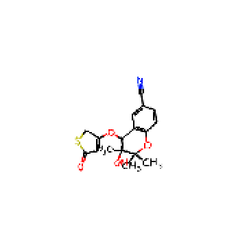 CC1(C)Oc2ccc(C#N)cc2C(OC2=CC(=O)SC2)C1(C)O